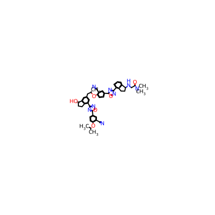 CC(C)Oc1ccc(-c2nc(-c3cc(CC(C)Oc4ccc(-c5nc(-c6cccc7c6CCC7NCC(=O)N(C)C)no5)cc4C#N)cc4c3CC[C@@H]4O)no2)cc1C#N